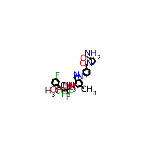 Cc1cc(NCC(O)(CC(C)(C)c2cc(F)ccc2O)C(F)(F)F)c2cnn(-c3cccc(C(=O)N4CCC[C@@H]4C(N)=O)c3)c2c1